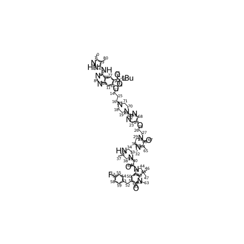 Cc1n[nH]c(Nc2ncnc3cc(OCCCN4CCN(c5ncc(OCCN6CCN(C[C@H]7CN[C@H](C)CN7CC(=O)N7CC(C)(C)c8c7cc(Cc7ccc(F)cc7)c(=O)n8C)C(C)C6=O)cn5)CC4)c(S(=O)(=O)C(C)(C)C)cc23)c1C